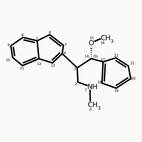 CNCC(c1ccc2ccccc2c1)[C@H](OC)c1ccccc1